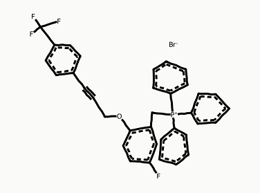 Fc1ccc(OCC#Cc2ccc(C(F)(F)F)cc2)c(C[P+](c2ccccc2)(c2ccccc2)c2ccccc2)c1.[Br-]